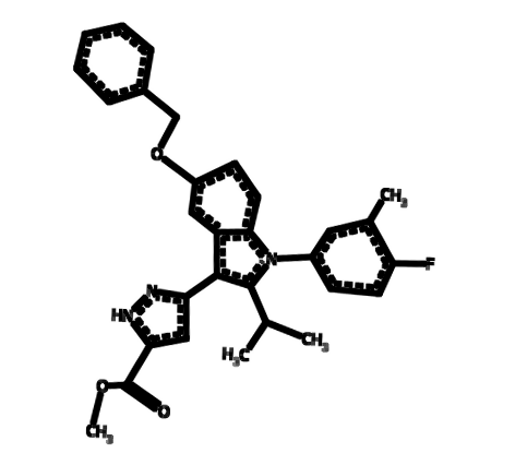 COC(=O)c1cc(-c2c(C(C)C)n(-c3ccc(F)c(C)c3)c3ccc(OCc4ccccc4)cc23)n[nH]1